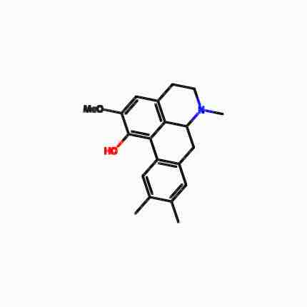 COc1cc2c3c(c1O)-c1cc(C)c(C)cc1CC3N(C)CC2